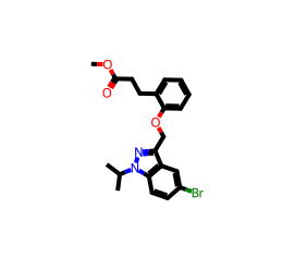 COC(=O)CCc1ccccc1OCc1nn(C(C)C)c2ccc(Br)cc12